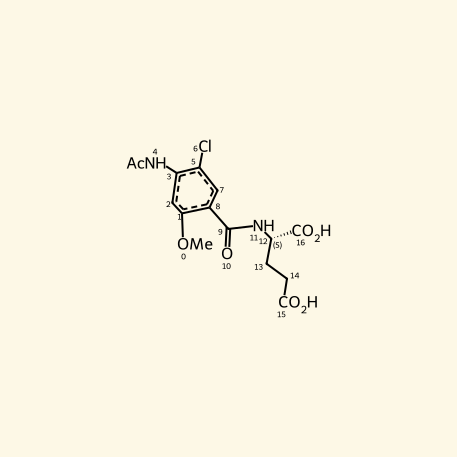 COc1cc(NC(C)=O)c(Cl)cc1C(=O)N[C@@H](CCC(=O)O)C(=O)O